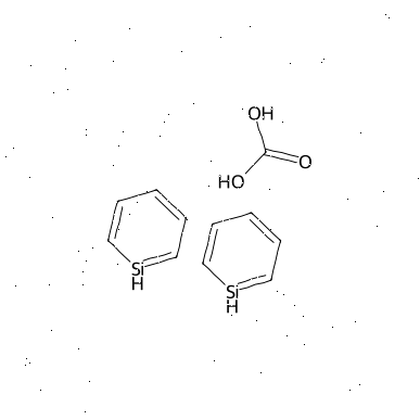 O=C(O)O.c1cc[siH]cc1.c1cc[siH]cc1